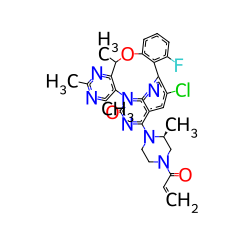 C=CC(=O)N1CCN(c2nc(=O)n3c4nc(c(Cl)cc24)-c2c(F)cccc2OC(C)c2nc(C)nc(C)c2-3)[C@@H](C)C1